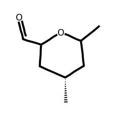 CC1C[C@H](C)CC(C=O)O1